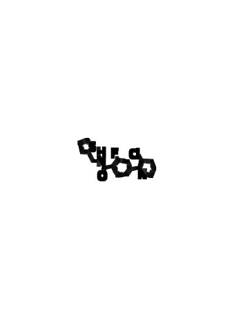 O=C(NCc1cccs1)c1ccc(-c2ncccc2Cl)cc1F